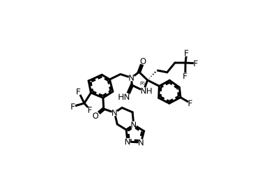 N=C1N[C@](CCCC(F)(F)F)(c2ccc(F)cc2)C(=O)N1Cc1ccc(C(F)(F)F)c(C(=O)N2CCn3cnnc3C2)c1